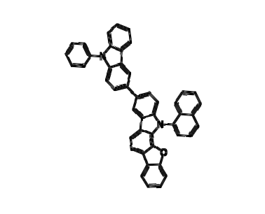 c1ccc(-n2c3ccccc3c3cc(-c4ccc5c(c4)c4ccc6c7ccccc7oc6c4n5-c4cccc5ccccc45)ccc32)cc1